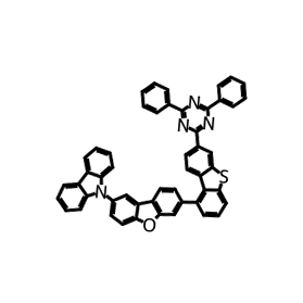 c1ccc(-c2nc(-c3ccccc3)nc(-c3ccc4c(c3)sc3cccc(-c5ccc6c(c5)oc5ccc(-n7c8ccccc8c8ccccc87)cc56)c34)n2)cc1